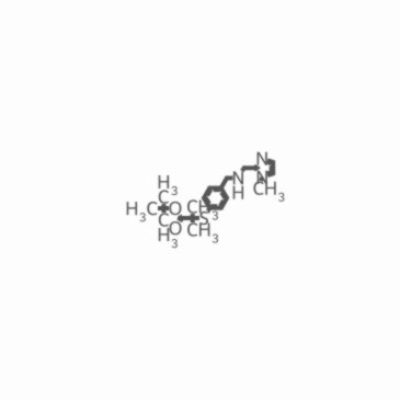 Cn1ccnc1CNCc1ccc(SC(C)(C)C(=O)OC(C)(C)C)cc1